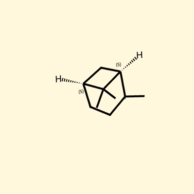 C[C]1CC[C@H]2C[C@@H]1C2(C)C